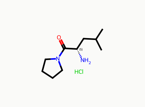 CC(C)C[C@H](N)C(=O)N1CCCC1.Cl